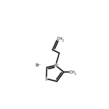 C=CC[n+]1cscc1C.[Br-]